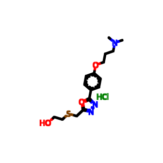 CN(C)CCCOc1ccc(-c2nnc(CSCCO)o2)cc1.Cl